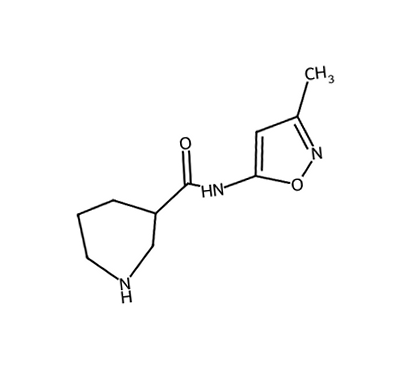 Cc1cc(NC(=O)C2CCCNC2)on1